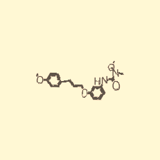 COc1ccc(CCCOc2cccc(NC(=O)N(C)OC)c2)cc1